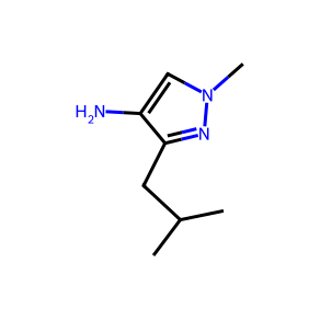 CC(C)Cc1nn(C)cc1N